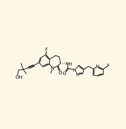 CN1C(=O)[C@@H](NC(=O)n2cc(Cc3cccc(F)n3)cn2)CCc2c(F)cc(C#CC(C)(C)CO)cc21